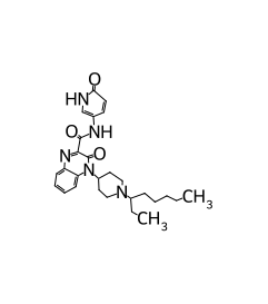 CCCCCC(CC)N1CCC(n2c(=O)c(C(=O)Nc3ccc(=O)[nH]c3)nc3ccccc32)CC1